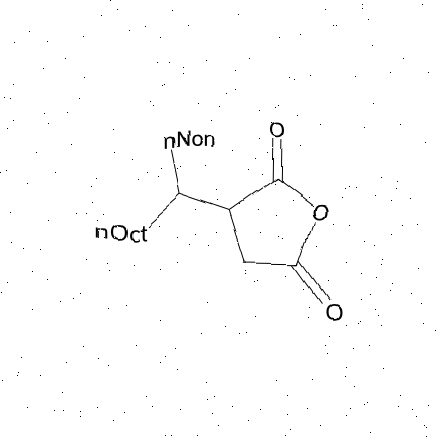 CCCCCCCCCC(CCCCCCCC)C1CC(=O)OC1=O